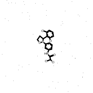 O=C(Nc1cccc(N2OCCC2c2c(Cl)cccc2Cl)c1)C(Cl)Cl